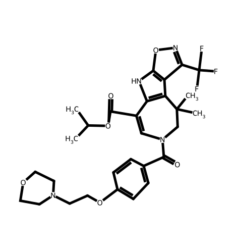 CC(C)OC(=O)C1=CN(C(=O)c2ccc(OCCN3CCOCC3)cc2)CC(C)(C)c2c1[nH]c1onc(C(F)(F)F)c21